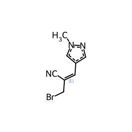 Cn1cc(/C=C(\C#N)CBr)cn1